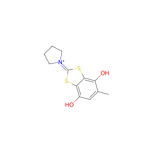 Cc1cc(O)c2sc(=[N+]3CCCC3)sc2c1O